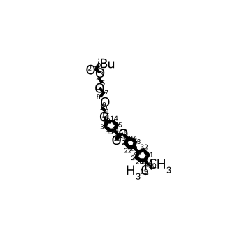 CCC(C)C(=O)OCCOCCOCCOc1ccc(C(=O)Oc2ccc(-c3ccc(N(C)C)cc3)cc2)cc1